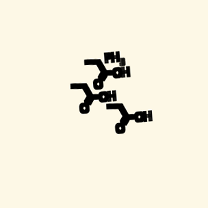 CCC(=O)O.CCC(=O)O.CCC(=O)O.P